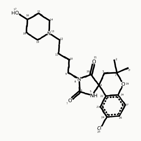 CC1(C)CC2(NC(=O)N(CCCCN3CCC(O)CC3)C2=O)c2cc(Cl)ccc2O1